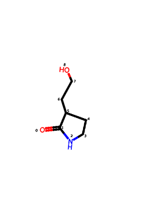 O=C1NCCC1CCO